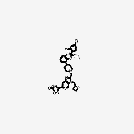 CC1(c2ccc(Cl)cc2F)Oc2cccc(C3CCN(Cc4nc5cc(-c6noc(=O)[nH]6)ncc5n4CC4CCO4)CC3)c2O1